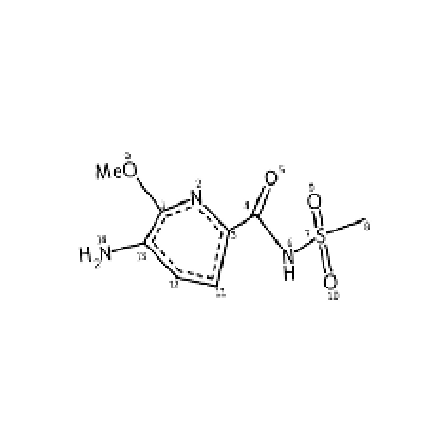 COc1nc(C(=O)NS(C)(=O)=O)ccc1N